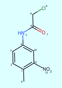 Cc1ccc(NC(=O)CCl)cc1[N+](=O)[O-]